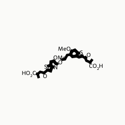 COc1cc2sc(C(=O)CC(C)C(=O)O)cc2cc1CCCOc1nc2cc(C(=O)CC(C)C(=O)O)sc2cc1OC